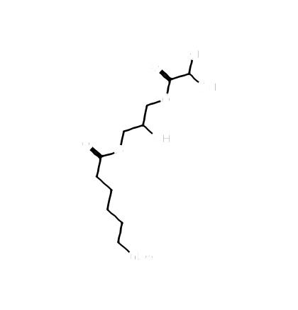 CCCCCCCCCCCCCCCC(=O)OCC(O)COC(=O)C(C)O